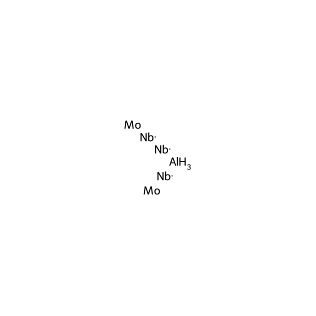 [AlH3].[Mo].[Mo].[Nb].[Nb].[Nb]